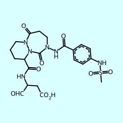 CS(=O)(=O)Nc1ccc(C(=O)NN2CCC(=O)N3CCCC(C(=O)NC(C=O)CC(=O)O)N3C2=O)cc1